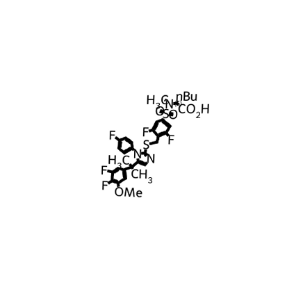 CCCC[C@@H](C(=O)O)N(C)S(=O)(=O)c1cc(F)c(CSc2ncc(C(C)(C)c3cc(F)c(F)c(OC)c3)n2-c2ccc(F)cc2)c(F)c1